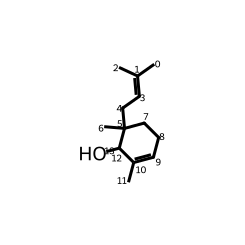 CC(C)=CCC1(C)CCC=C(C)C1O